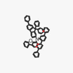 c1ccc(-c2ccc(-c3ccc(-c4ccccc4)cc3N(c3ccc4c(c3)C(c3ccccc3)(c3ccccc3)c3cc(-c5ccccc5)ccc3-4)c3cccc4c3oc3ccccc34)cc2)cc1